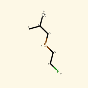 CCC(C)CSCCF